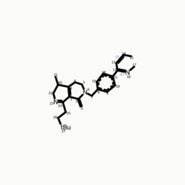 C=C1C2=C(CCN1Cc1ccc(C(/C=C\C)=N/C)cc1)C(C)CN=C2CCC(C)(C)C